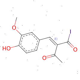 COc1cc(/C=C(\C(C)=O)C(=O)I)ccc1O